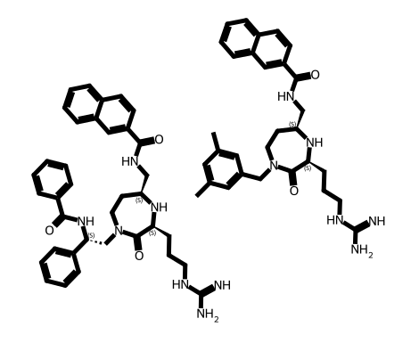 Cc1cc(C)cc(CN2CC[C@@H](CNC(=O)c3ccc4ccccc4c3)N[C@@H](CCCNC(=N)N)C2=O)c1.N=C(N)NCCC[C@@H]1N[C@H](CNC(=O)c2ccc3ccccc3c2)CCN(C[C@@H](NC(=O)c2ccccc2)c2ccccc2)C1=O